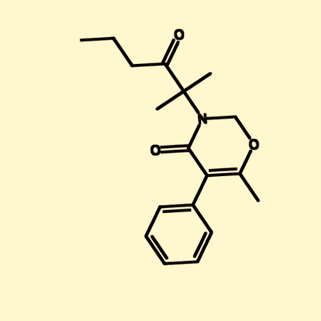 CCCC(=O)C(C)(C)N1COC(C)=C(c2ccccc2)C1=O